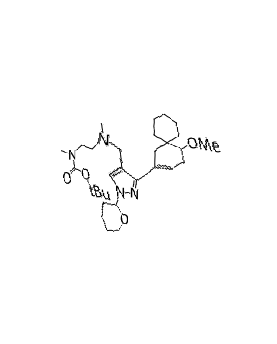 COC1CC=C(c2nn(C3CCCCO3)cc2CN(C)CCN(C)C(=O)OC(C)(C)C)CC12CCCCC2